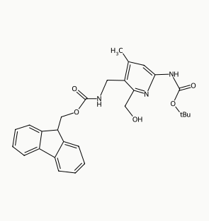 Cc1cc(NC(=O)OC(C)(C)C)nc(CO)c1CNC(=O)OCC1c2ccccc2-c2ccccc21